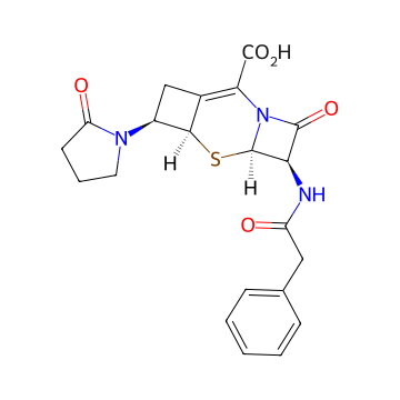 O=C(Cc1ccccc1)N[C@@H]1C(=O)N2C(C(=O)O)=C3C[C@H](N4CCCC4=O)[C@@H]3S[C@H]12